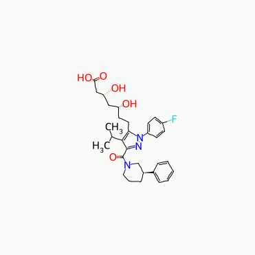 CC(C)c1c(C(=O)N2CCC[C@H](c3ccccc3)C2)nn(-c2ccc(F)cc2)c1CC[C@@H](O)C[C@@H](O)CC(=O)O